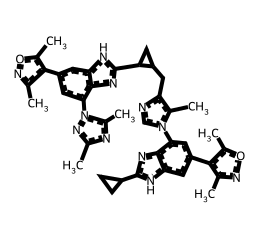 Cc1nc(C)n(-c2cc(-c3c(C)noc3C)cc3[nH]c(C4CC4Cc4ncn(-c5cc(-c6c(C)noc6C)cc6[nH]c(C7CC7)nc56)c4C)nc23)n1